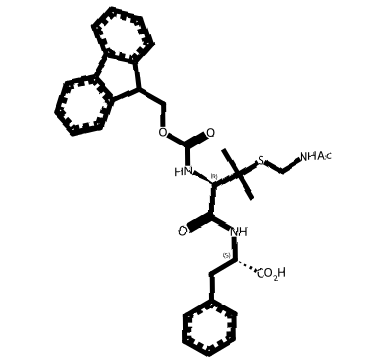 CC(=O)NCSC(C)(C)[C@H](NC(=O)OCC1c2ccccc2-c2ccccc21)C(=O)N[C@@H](Cc1ccccc1)C(=O)O